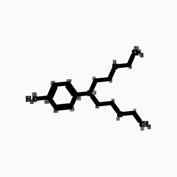 CCOCCN(CCOCC)c1ccc(C)cc1